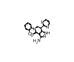 Nc1n[nH]c2c(-c3ncccn3)cn(-c3ccccc3Cl)c(=O)c12